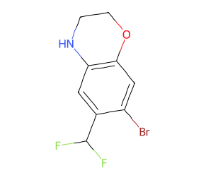 FC(F)c1cc2c(cc1Br)OCCN2